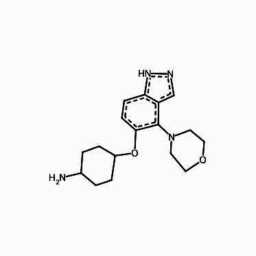 NC1CCC(Oc2ccc3[nH]ncc3c2N2CCOCC2)CC1